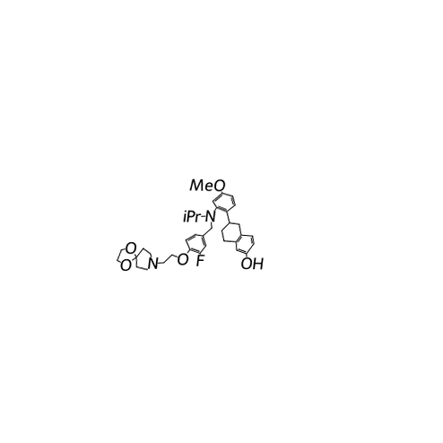 COc1ccc(C2CCc3cc(O)ccc3C2)c(N(Cc2ccc(OCCN3CCC4(CC3)OCCO4)c(F)c2)C(C)C)c1